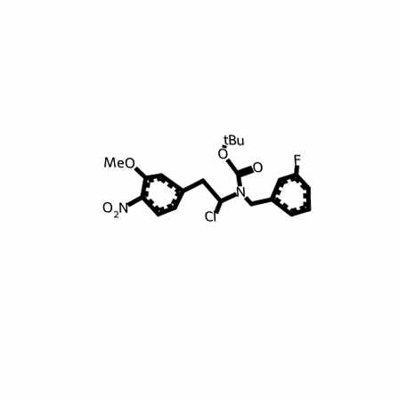 COc1cc(CC(Cl)N(Cc2cccc(F)c2)C(=O)OC(C)(C)C)ccc1[N+](=O)[O-]